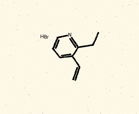 Br.C=Cc1cccnc1CC